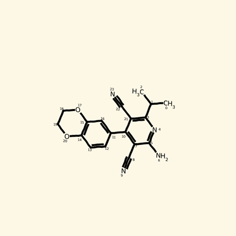 CC(C)c1nc(N)c(C#N)c(-c2ccc3c(c2)OCCO3)c1C#N